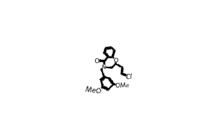 COc1cc(CN2CC(CCCl)Oc3ccccc3C2=O)cc(OC)c1